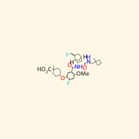 COc1cc(F)c(OC2CCC(C)(C(=O)O)CC2)cc1C(=O)N[C@H]1[C@@H](C(=O)NCC2(C)CCC2)[C@@H]2C/C(=C/F)[C@H]1C2